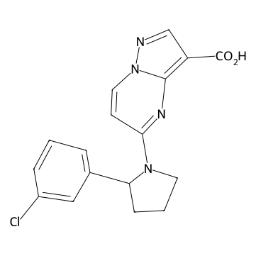 O=C(O)c1cnn2ccc(N3CCCC3c3cccc(Cl)c3)nc12